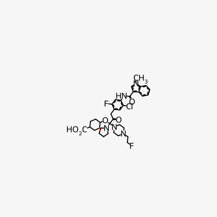 Cn1cc(C(=O)Nc2cc(F)c(CC(=O)C(OC3CCC(C(=O)O)CC3)(N3CCCC3)N3CCN(CCF)CC3)cc2Cl)c2ccccc21